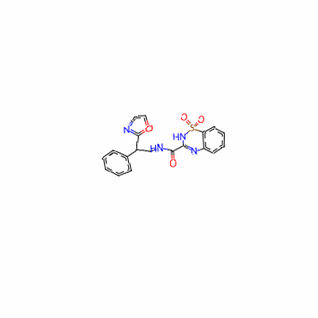 O=C(NCC(c1ccccc1)c1ncco1)C1=Nc2ccccc2S(=O)(=O)N1